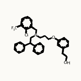 OCCc1cccc(OCCCN(Cc2cccc(C(F)(F)F)c2Cl)CC(c2ccccc2)c2ccccc2)c1